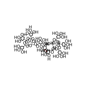 O=C(O[C@@H]1O[C@@H]2COC(=O)c3cc(Oc4c(C(=O)OC[C@H]5O[C@@H](OC(=O)c6cc(O)c(O)c(O)c6)[C@H](OC(=O)c6cc(O)c(O)c(O)c6)[C@@H](OC(=O)c6cc(O)c(O)c(O)c6)[C@@H]5O)cc(O)c(O)c4O)c(O)c(O)c3-c3c(cc(O)c(O)c3O)C(=O)O[C@H]2[C@H](OC(=O)c2cc(O)c(O)c(O)c2)[C@H]1OC(=O)c1cc(O)c(O)c(O)c1)c1cc(O)c(O)c(O)c1